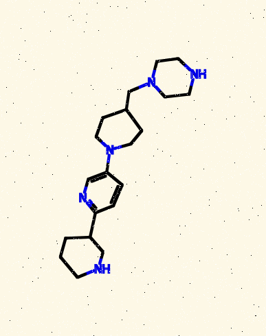 c1cc(C2CCCNC2)ncc1N1CCC(CN2CCNCC2)CC1